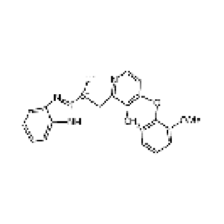 COc1ccccc1Oc1ccnc(C[S+]([O-])c2nc3ccccc3[nH]2)c1C